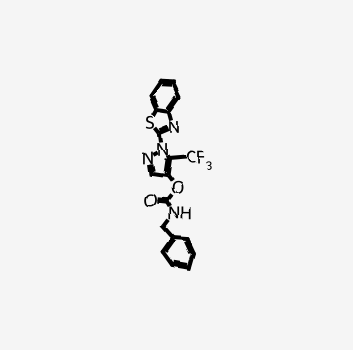 O=C(NCc1ccccc1)Oc1cnn(-c2nc3ccccc3s2)c1C(F)(F)F